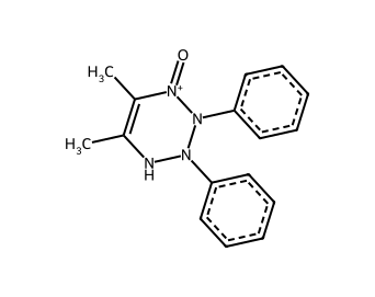 CC1=C(C)[N+](=O)N(c2ccccc2)N(c2ccccc2)N1